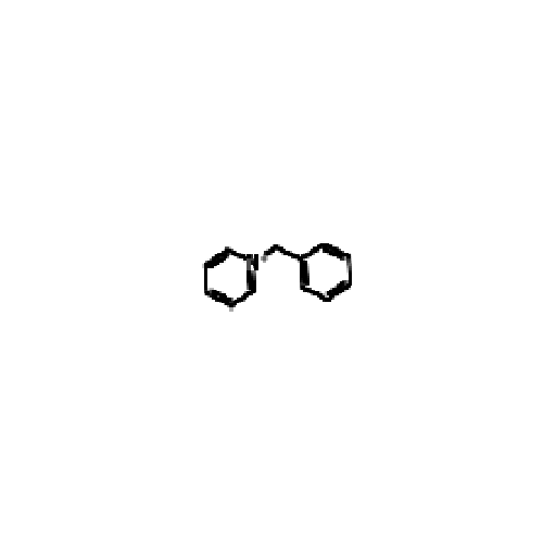 [c]1ccc[n+](Cc2ccccc2)c1